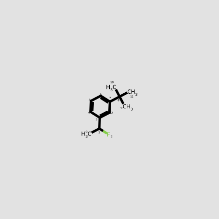 CC(F)c1cccc(C(C)(C)C)c1